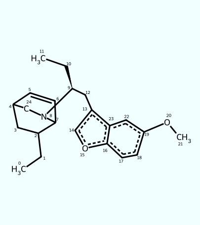 CCC1CC2C=CC1N([C@@H](CC)Cc1coc3ccc(OC)cc13)C2